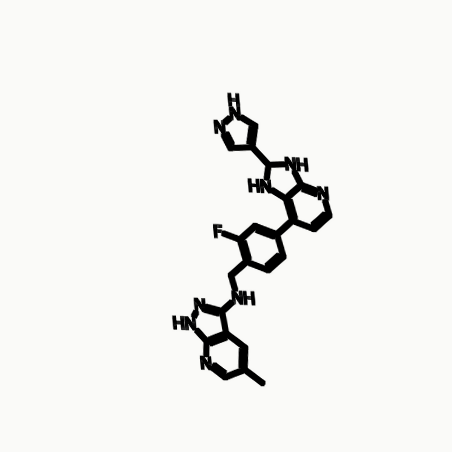 Cc1cnc2[nH]nc(NCc3ccc(-c4ccnc5c4NC(c4cn[nH]c4)N5)cc3F)c2c1